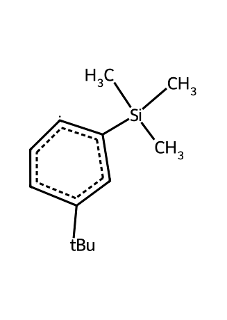 CC(C)(C)c1cc[c]c([Si](C)(C)C)c1